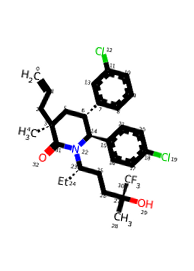 C=CC[C@@]1(C)C[C@H](c2cccc(Cl)c2)[C@@H](c2ccc(Cl)cc2)N([C@@H](CC)CC[C@@](C)(O)C(F)(F)F)C1=O